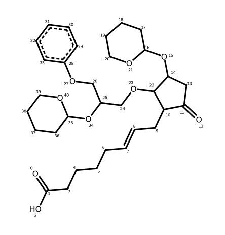 O=C(O)CCCCC=CCC1C(=O)CC(OC2CCCCO2)C1OCC(COc1ccccc1)OC1CCCCO1